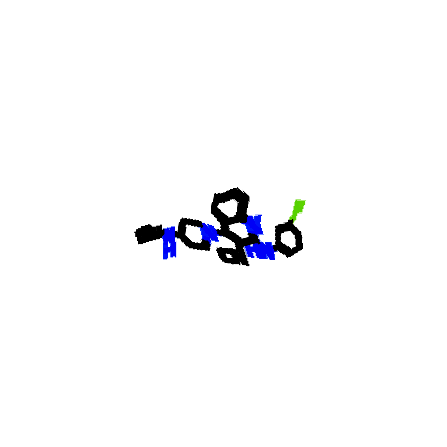 CC(C)(C)NC1CCN(c2c(C#N)c(Nc3cccc(F)c3)nc3ccccc23)CC1